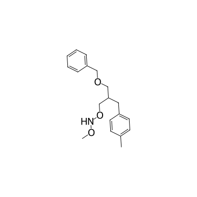 CONOCC(COCc1ccccc1)Cc1ccc(C)cc1